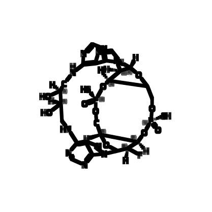 O=[P@]1(S)OCC2O[C@@H]3[C@H](F)[C@@H]2O[P@](=O)(S)OC[C@H]2OC([C@H](F)[C@@H]2O1)n1cnc2c(ncnc21)NC[C@H](O)[C@@H](O)CNc1ncnc2c1ncn23